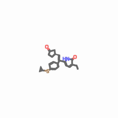 CCc1ccc(/C(=C/[C@H]2CCC(=O)C2)c2ccc(SC3CC3)cc2)[nH]c1=O